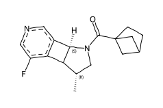 C[C@H]1CN(C(=O)C23CCC(C2)C3)[C@@H]2c3cncc(F)c3C21